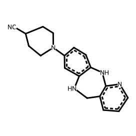 N#CC1CCN(c2ccc3c(c2)NCc2cccnc2N3)CC1